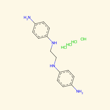 Cl.Cl.Cl.Cl.Nc1ccc(NCCNc2ccc(N)cc2)cc1